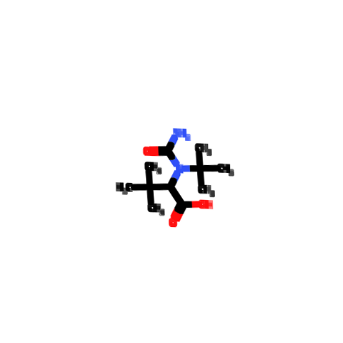 CC(C)(C)C(C(=O)O)N(C(N)=O)C(C)(C)C